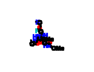 COCCNC(=O)c1ccc(Oc2nc(Nc3ccc(OCC4CCCN(C)C4)c(F)c3)ncc2C(=O)Nc2c(C)cccc2C)c(OC)c1